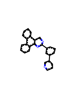 c1cncc(-c2cccc(-c3ncc4c5ccccc5c5ccccc5c4n3)c2)c1